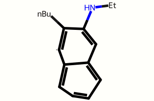 CCCCc1[c]c2ccccc2cc1NCC